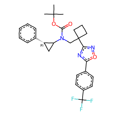 CC(C)(C)OC(=O)N(CC1(c2noc(-c3ccc(C(F)(F)F)cc3)n2)CCC1)C1C[C@@H]1c1ccccc1